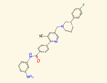 N#Cc1cc(CN2CCCC(c3ccc(F)cc3)C2)cnc1-c1ccc(C(=O)Nc2cccc(N)c2)cc1